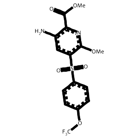 COC(=O)c1nc(OC)c(S(=O)(=O)c2ccc(OC(F)(F)F)cc2)cc1N